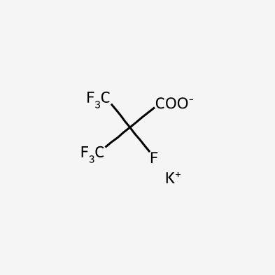 O=C([O-])C(F)(C(F)(F)F)C(F)(F)F.[K+]